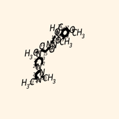 COc1cc(C)c(S(=O)(=O)Cc2noc(CC(=O)N(C)C3CCN(c4cc(C)nc(C)n4)CC3)n2)c(C)c1